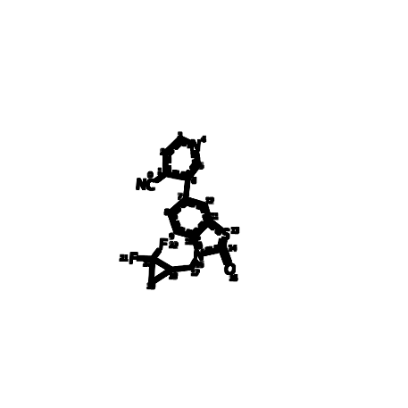 N#Cc1ccncc1-c1ccc2c(c1)sc(=O)n2CC1CC1(F)F